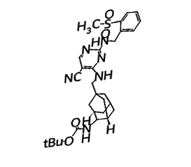 CC(C)(C)OC(=O)NC1[C@@H]2CC3C[C@H]1CC(CNc1nc(NCc4ccccc4S(C)(=O)=O)ncc1C#N)(C3)C2